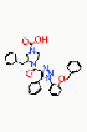 O=C(O)N1CCN(C(=O)c2nnn(-c3ccccc3OCc3ccccc3)c2-c2ccccc2)C(Cc2ccccc2)C1